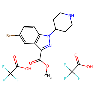 COC(=O)c1nn(C2CCNCC2)c2ccc(Br)cc12.O=C(O)C(F)(F)F.O=C(O)C(F)(F)F